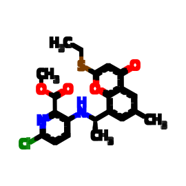 CCSc1cc(=O)c2cc(C)cc([C@@H](C)Nc3ccc(Cl)nc3C(=O)OC)c2o1